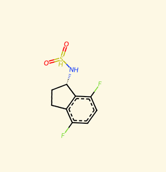 O=[SH](=O)N[C@H]1CCc2c(F)ccc(F)c21